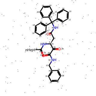 CCCCCCCC(=O)N[C@@H](CC(=O)NC(c1ccccc1)(c1ccccc1)c1ccccc1)C(=O)C(=O)NCc1ccccc1